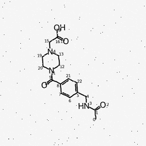 CC(=O)NCc1ccc(C(=O)N2CCN(CC(=O)O)CC2)cc1